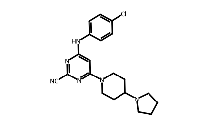 N#Cc1nc(Nc2ccc(Cl)cc2)cc(N2CCC(N3CCCC3)CC2)n1